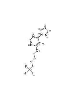 Cc1c(OCCCCC(F)(F)F)ncnc1-n1cncn1